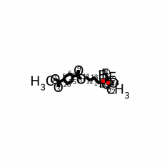 COC(=O)C1CCC(C(=O)OCCCCC(F)(F)C(F)(F)S(C)(=O)=O)CC1